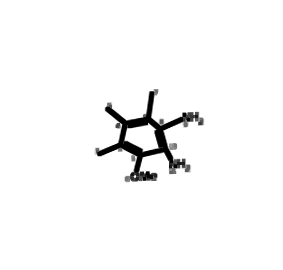 COc1c(C)c(C)c(C)c(N)c1N